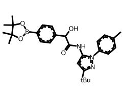 Cc1ccc(-n2nc(C(C)(C)C)cc2NC(=O)C(O)c2ccc(B3OC(C)(C)C(C)(C)O3)cc2)cc1